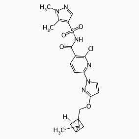 Cc1c(S(=O)(=O)NC(=O)c2ccc(-n3ccc(OCC45CC(C4)[C@H]5C)n3)nc2Cl)cnn1C